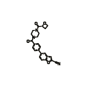 N#Cc1cc2cc(-c3ccc(C(=O)N4CCN(C(=O)C5CCO5)CC4)cc3)ccc2o1